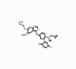 CCCN(CC1CC1)c1ccc(Nc2ncnc3cc(OCCOC)c(OC)cc23)cc1C1=CC(=O)C=CC1=O